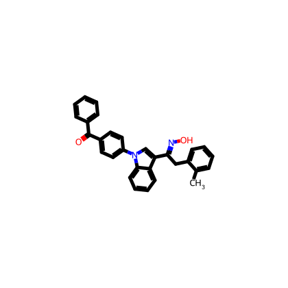 Cc1ccccc1C/C(=N\O)c1cn(-c2ccc(C(=O)c3ccccc3)cc2)c2ccccc12